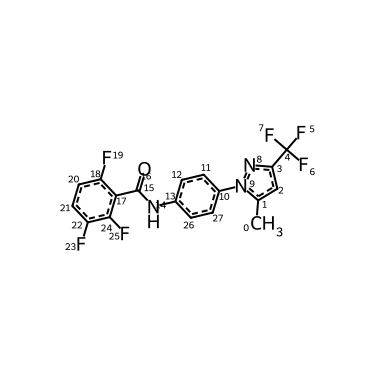 Cc1cc(C(F)(F)F)nn1-c1ccc(NC(=O)c2c(F)ccc(F)c2F)cc1